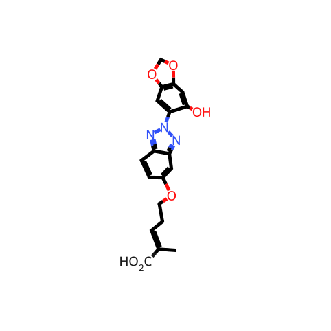 CC(=CCCOc1ccc2nn(-c3cc4c(cc3O)OCO4)nc2c1)C(=O)O